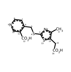 Cc1nc(SCc2ccncc2C(=O)O)sc1CC(=O)O